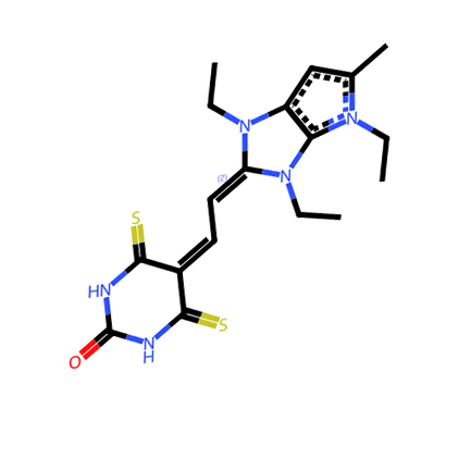 CCN1/C(=C/C=C2C(=S)NC(=O)NC2=S)N(CC)c2c1cc(C)n2CC